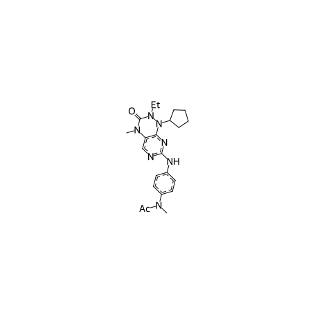 CCN1C(=O)N(C)c2cnc(Nc3ccc(N(C)C(C)=O)cc3)nc2N1C1CCCC1